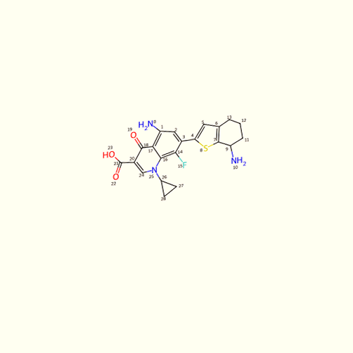 Nc1cc(-c2cc3c(s2)C(N)CCC3)c(F)c2c1c(=O)c(C(=O)O)cn2C1CC1